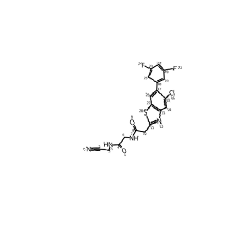 N#CCNC(=O)CNC(=O)Cc1nc2cc(Cl)c(-c3cc(F)cc(F)c3)cc2s1